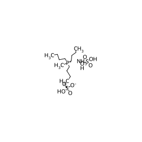 CCCC[P+](C)(CCCC)CCCC.N.O=S(=O)(O)O.O=S(=O)([O-])O